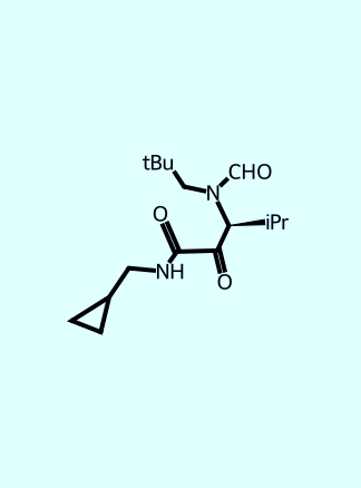 CC(C)[C@@H](C(=O)C(=O)NCC1CC1)N(C=O)CC(C)(C)C